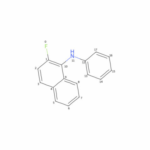 Fc1ccc2ccccc2c1Nc1ccccc1